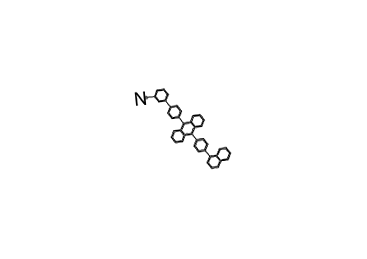 N#Cc1cccc(-c2ccc(-c3c4ccccc4c(-c4ccc(-c5cccc6ccccc56)cc4)c4ccccc34)cc2)c1